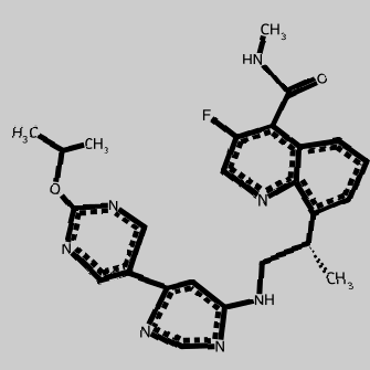 CNC(=O)c1c(F)cnc2c([C@H](C)CNc3cc(-c4cnc(OC(C)C)nc4)ncn3)cccc12